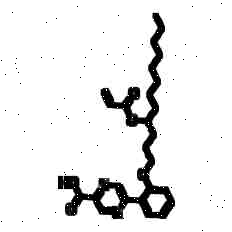 C=CC(=O)OC(CCCCCCCC)CCCOc1ccccc1-c1cnc(C(=O)O)cn1